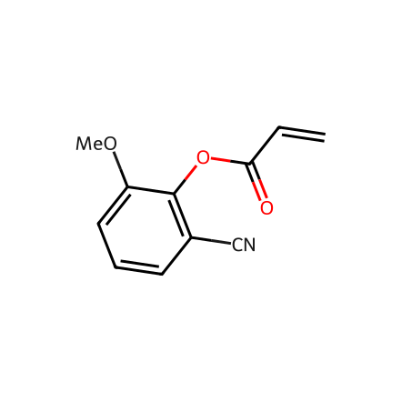 C=CC(=O)Oc1c(C#N)cccc1OC